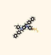 Cc1ccc(-n2c(-c3ccc(-c4ccccc4)cc3)cc3cc4c(cc(-c5ccc(-c6ccccc6)cc5)n4-c4ccc(P)cc4)cc32)cc1